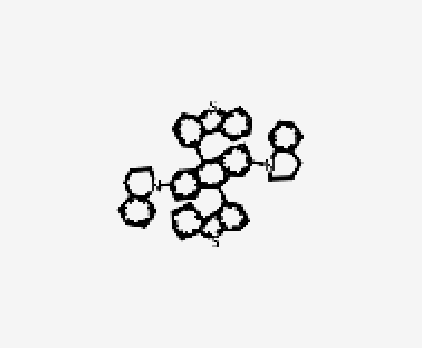 c1ccc2c(c1)CCCN2c1ccc2c(-c3cccc4sc5ccccc5c34)c3cc(N4CCCc5ccccc54)ccc3c(-c3cccc4sc5ccccc5c34)c2c1